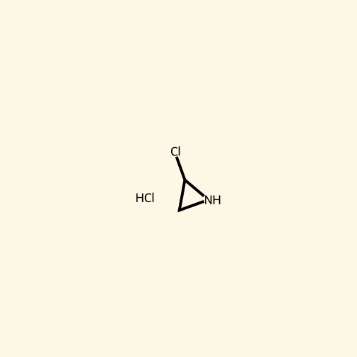 Cl.ClC1CN1